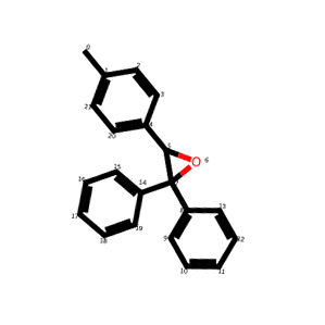 Cc1ccc(C2OC2(c2ccccc2)c2ccccc2)cc1